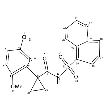 COc1ccc(C)nc1C1(C(=O)NS(=O)(=O)c2cccc3ncccc23)CC1